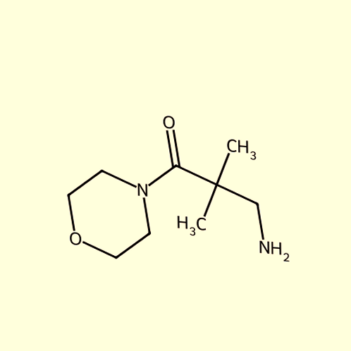 CC(C)(CN)C(=O)N1CCOCC1